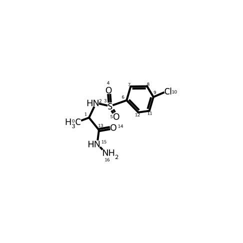 CC(NS(=O)(=O)c1ccc(Cl)cc1)C(=O)NN